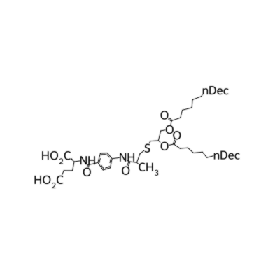 CCCCCCCCCCCCCCCC(=O)OCC(CSCC(C)C(=O)Nc1ccc(C(=O)N[C@@H](CCC(=O)O)C(=O)O)cc1)OC(=O)CCCCCCCCCCCCCCC